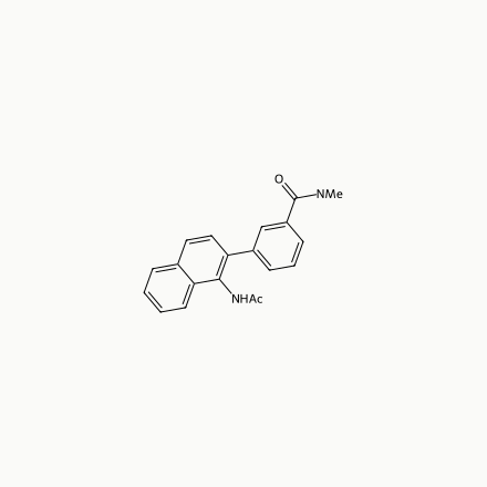 CNC(=O)c1cccc(-c2ccc3ccccc3c2NC(C)=O)c1